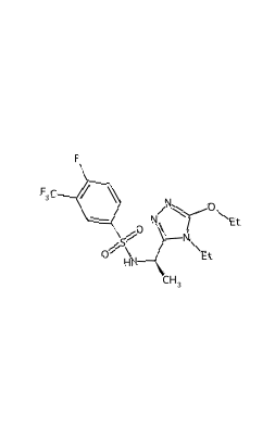 CCOc1nnc([C@@H](C)NS(=O)(=O)c2ccc(F)c(C(F)(F)F)c2)n1CC